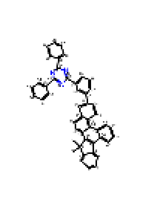 CC1(C)c2ccccc2-c2c1c1ccc3cc(-c4cccc(-c5nc(-c6ccccc6)nc(-c6ccccc6)n5)c4)ccc3c1c1ccccc21